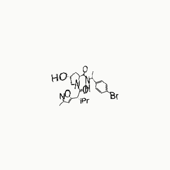 Cc1cc([C@H](C(=O)N2C[C@H](O)C[C@H]2C(=O)N[C@@H](C)c2ccc(Br)cc2)C(C)C)on1